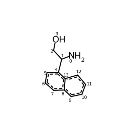 NC(CO)c1cccc2ccccc12